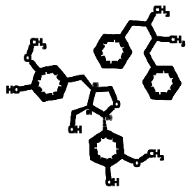 CC(Cc1ccccc1)C(C)Cc1ccccc1.COc1cc(C[C@H]2CO[C@H](c3ccc(O)c(OC)c3)[C@H]2CO)ccc1O